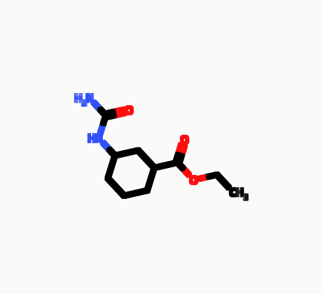 CCOC(=O)C1CCCC(NC(N)=O)C1